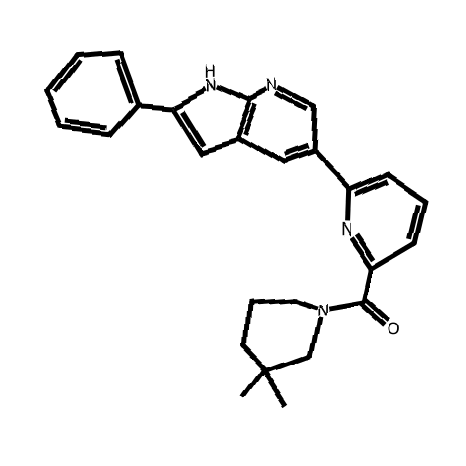 CC1(C)CCCN(C(=O)c2cccc(-c3cnc4[nH]c(-c5ccccc5)cc4c3)n2)C1